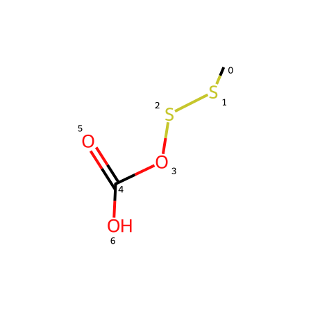 CSSOC(=O)O